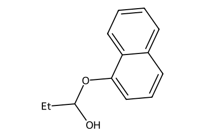 CCC(O)Oc1cccc2ccccc12